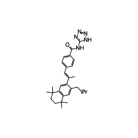 C/C(=C\c1ccc(C(=O)Nc2nnn[nH]2)cc1)c1cc2c(cc1CC(C)C)C(C)(C)CCC2(C)C